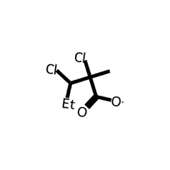 CCC(Cl)C(C)(Cl)C([O])=O